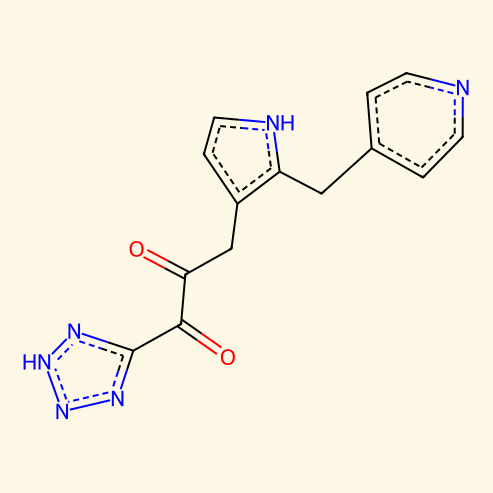 O=C(Cc1cc[nH]c1Cc1ccncc1)C(=O)c1nn[nH]n1